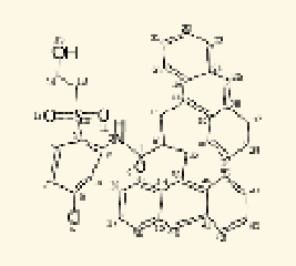 O=C(Nc1cc(Cl)ccc1S(=O)(=O)CCO)C(Cc1c2ccccc2cc2ccccc12)Cc1c2ccccc2cc2ccccc12